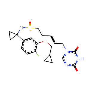 O=c1ncn(C/C=C/CCS(=O)(=O)NC2(c3ccc(F)c(OCC4CC4)c3)CC2)c(=O)[nH]1